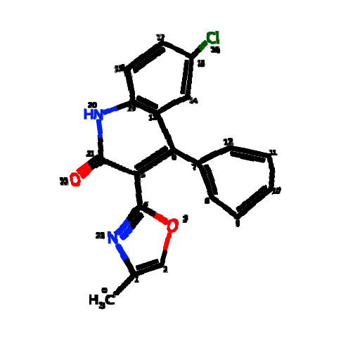 Cc1coc(-c2c(-c3ccccc3)c3cc(Cl)ccc3[nH]c2=O)n1